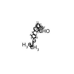 CC(Cc1ccc(OCCN(C)C)cc1)CC(C=O)c1ccccc1Br